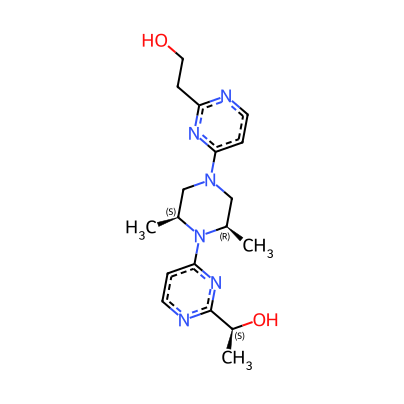 C[C@H](O)c1nccc(N2[C@H](C)CN(c3ccnc(CCO)n3)C[C@@H]2C)n1